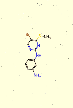 CSc1nc(Nc2cccc(N)c2)ncc1Br